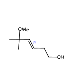 COC(C)(C)/C=C/CCO